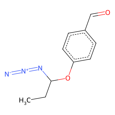 CCC(N=[N+]=[N-])Oc1ccc(C=O)cc1